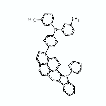 Cc1cccc(N(c2ccc(-c3ccc4ccc5cc6c7ccccc7n(-c7ccccc7)c6c6ccc3c4c56)cc2)c2cccc(C)c2)c1